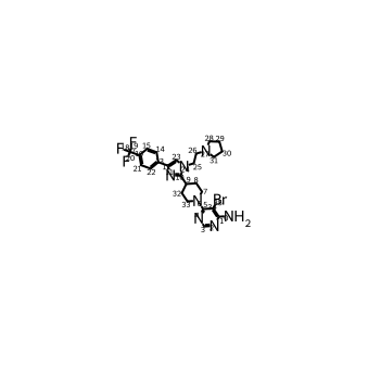 Nc1ncnc(N2CCC(c3nc(-c4ccc(C(F)(F)F)cc4)cn3CCN3CCCC3)CC2)c1Br